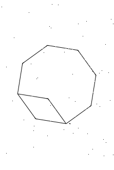 C1CC[C]2CC(CC1)C2